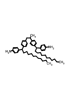 CCCCCCCCCCCC(c1ccc(N)cc1)c1ccc(CC(C)c2ccc(C(CCCCCCCCCCC)c3ccc(N)cc3)cc2)cc1